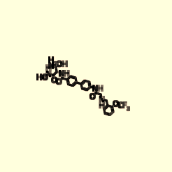 N[C@@H](O)[C@H](NC(=O)c1ccc(-c2ccc(NC(=O)CNCc3ccccc3OC(F)(F)F)cc2)cc1)C(=O)NO